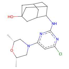 C[C@@H]1CN(c2cc(Cl)nc(NC3C4CC5CC3CC(O)(C5)C4)n2)C[C@H](C)O1